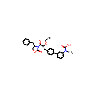 CCO[C@@H](Cc1ccc(-c2cccc(N(C)C(=O)O)c2)cc1)C(=O)N1C(=O)OCC1Cc1ccccc1